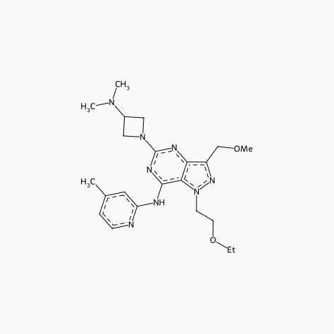 CCOCCn1nc(COC)c2nc(N3CC(N(C)C)C3)nc(Nc3cc(C)ccn3)c21